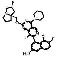 CCc1c(F)ccc2cc(O)cc(-c3ncc4c(N5CCCCC5)nc(OC[C@@]56CCCN5C[C@H](F)C6)nc4c3F)c12